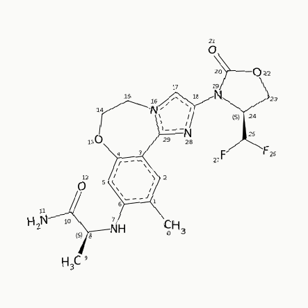 Cc1cc2c(cc1N[C@@H](C)C(N)=O)OCCn1cc(N3C(=O)OC[C@H]3C(F)F)nc1-2